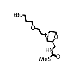 CSC(=O)NC[C@H]1CN(CCOCCCC(C)(C)C)CCO1